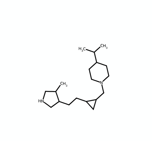 CC(C)C1CCN(CC2CC2CCC2CNCC2C)CC1